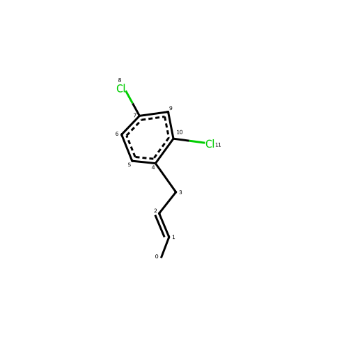 C/C=C/Cc1ccc(Cl)cc1Cl